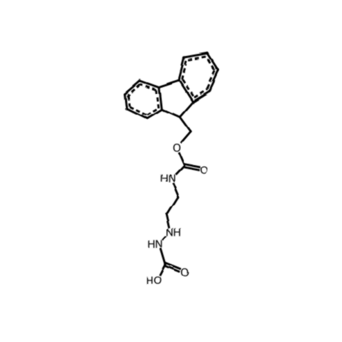 O=C(O)NNCCNC(=O)OCC1c2ccccc2-c2ccccc21